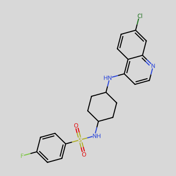 O=S(=O)(NC1CCC(Nc2ccnc3cc(Cl)ccc23)CC1)c1ccc(F)cc1